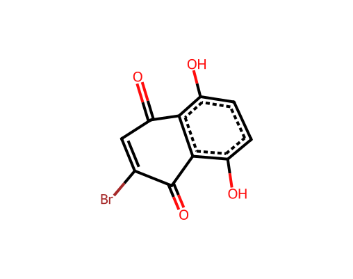 O=C1C=C(Br)C(=O)c2c(O)ccc(O)c21